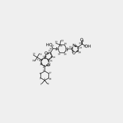 CC1(C)CCC(c2cc(C(C)(C)C)c3oc(C(O)N4CCN(c5nc(C(=O)O)co5)CC4(C)C)cc3n2)CC1